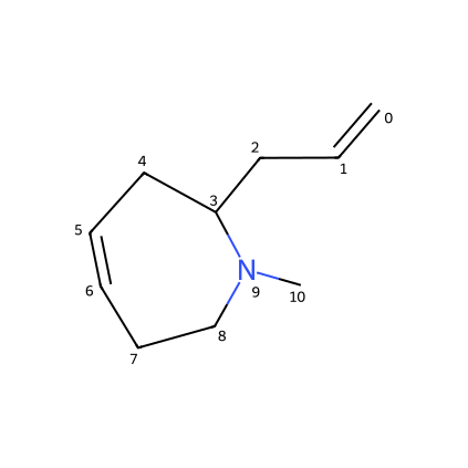 C=CCC1CC=CCCN1C